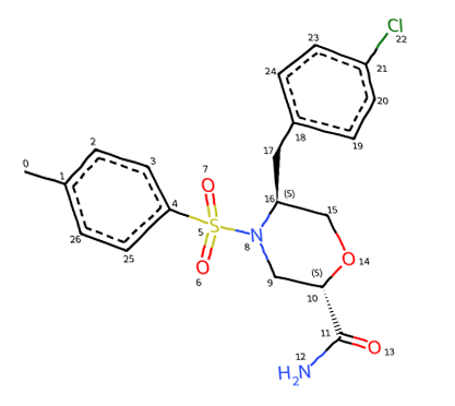 Cc1ccc(S(=O)(=O)N2C[C@@H](C(N)=O)OC[C@@H]2Cc2ccc(Cl)cc2)cc1